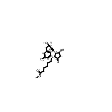 COC(=O)CCCCCC[C@H]1C(=O)C[C@H](O)[C@@H]1C#C[C@](C)(O)Cc1cccc(Cl)c1